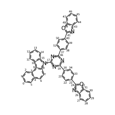 c1ccc2c(c1)ccc1c2c2ccccc2n1-c1nc(-c2ccc(-c3nc4ccccc4o3)cc2)nc(-c2ccc(-c3nc4ccccc4o3)cc2)n1